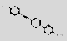 CCCCCCc1ccc(C2CC=C(C#Cc3ccc(CCC)cc3)CC2)cc1